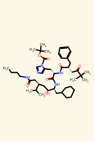 CCCCNC(=O)C[C@@H](C[C@H](O)[C@H](CC1CCCCC1)NC(=O)[C@H](Cc1cncn1C(=O)OC(C)(C)C)NC(=O)[C@@H](CC(=O)C(C)(C)C)Cc1ccccc1)C(C)C